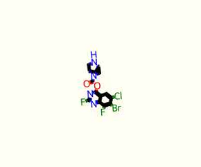 O=C(Oc1nc(F)nc2c(F)c(Br)c(Cl)cc12)N1CC2CC1CN2